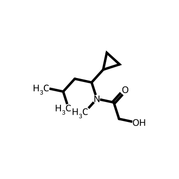 CC(C)CC(C1CC1)N(C)C(=O)CO